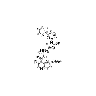 COc1ccc2ncc(F)c(N3CCC(NC[C@@H]4CN(C5=COC=C(C6=CC=CCC6)O5)C(=O)O4)C3)c2n1